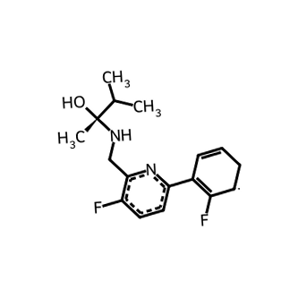 CC(C)[C@@](C)(O)NCc1nc(C2=C(F)[CH]CC=C2)ccc1F